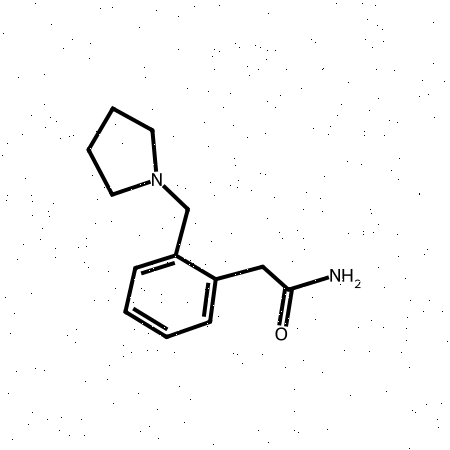 NC(=O)Cc1ccccc1CN1CCCC1